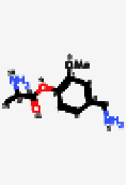 COc1cc(CN)ccc1OC(=O)C(C)N